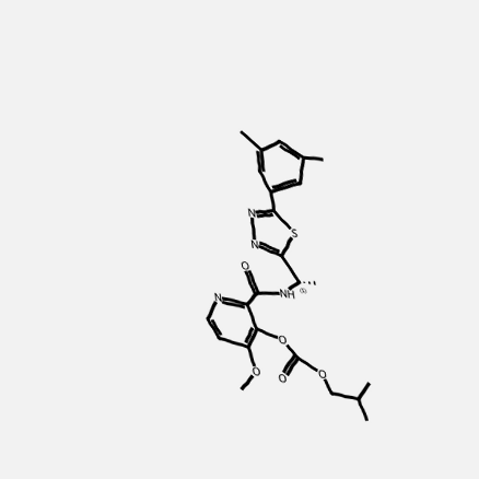 COc1ccnc(C(=O)N[C@@H](C)c2nnc(-c3cc(C)cc(C)c3)s2)c1OC(=O)OCC(C)C